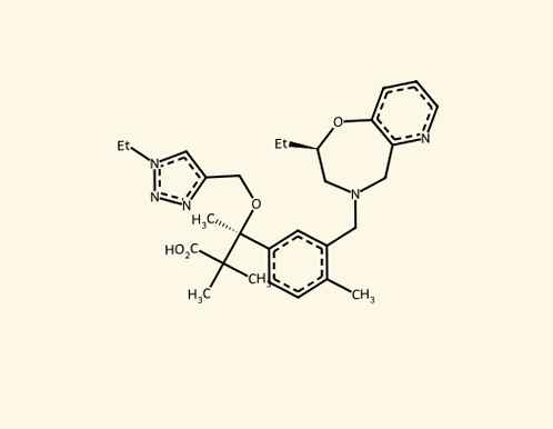 CC[C@@H]1CN(Cc2cc([C@](C)(OCc3cn(CC)nn3)C(C)(C)C(=O)O)ccc2C)Cc2ncccc2O1